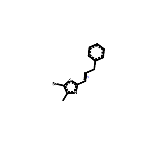 Cc1nc(/C=C/Cc2ccccc2)sc1Br